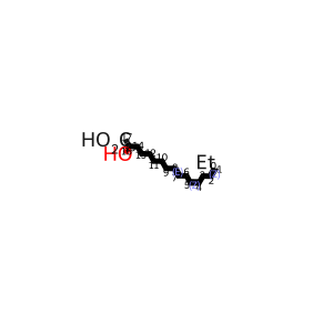 CC/C=C\C/C=C\C/C=C/CCCCCCC(O)C(=O)O